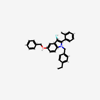 CCc1ccc(Cn2c(-c3ccccc3C)c(F)c3cc(OCc4ccccc4)ccc32)cc1